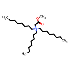 CCCCCCCC[N+](CCCCCCCC)(CCCCCCCC)CC(=O)OC